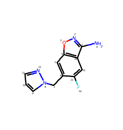 Nc1noc2cc(Cn3cccn3)c(F)cc12